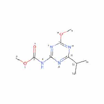 COC(=O)Nc1nc(OC)nc(C(C)C)n1